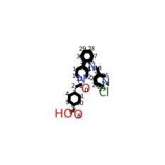 O=C(C[C@H]1CC[C@@H](C(=O)O)CC1)N1CCc2c(n(Cc3ccc(Cl)nc3)c3ccccc23)C1